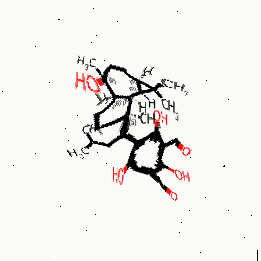 CC(C)CC(c1c(O)c(C=O)c(O)c(C=O)c1O)[C@@]1(C)CC[C@@H]2[C@H]1[C@H]1[C@@H](CC[C@@]2(C)O)C1(C)C